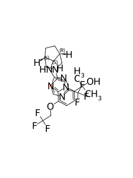 CC(C)(O)c1ccc(OCC(F)(F)F)c2nc(N[C@@H]3[C@@H]4CC[C@H]3CN(c3ccnc(C(F)(F)F)c3)C4)nn12